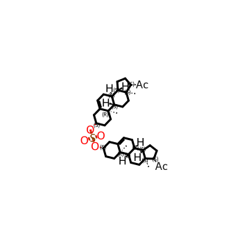 CC(=O)[C@H]1CC[C@H]2[C@@H]3CC=C4C[C@@H](OS(=O)(=O)O[C@H]5CC[C@@]6(C)C(=CC[C@H]7[C@@H]8CC[C@H](C(C)=O)[C@@]8(C)CC[C@@H]76)C5)CC[C@]4(C)[C@H]3CC[C@]12C